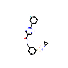 O=C(NCc1cccc(S(=O)(=O)NC2CC2)c1)c1cnc(-c2cccc(F)c2)nc1